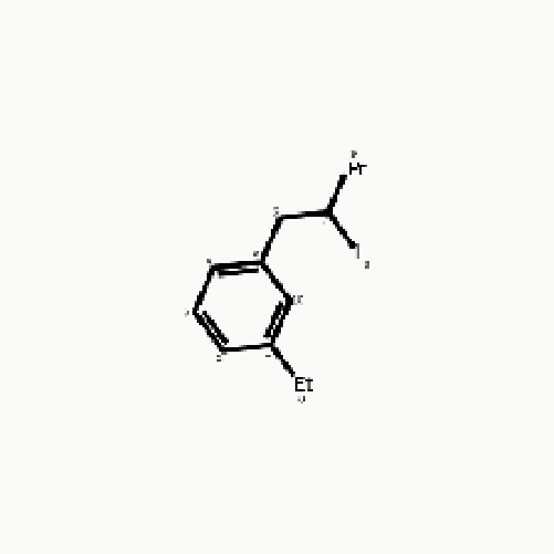 CCc1cccc(CC(I)C(C)C)c1